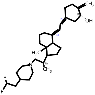 C=C1CC/C(=C/C=C2\CCCC3(C)C2CCC3[C@@H](C)CN2CCC(CC(F)F)CC2)C[C@H]1O